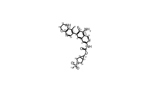 Cc1c(-c2cc3cc(NC(=O)OC4C5CN(S(C)(=O)=O)CC54)ncc3c(N)c2F)cnc2c1NCCO2